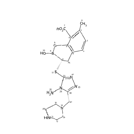 Cc1ccc2c(c1C(=O)O)OB(O)[C@@H](Sc1nnc(CN3CCNCC3)n1N)C2